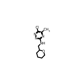 Cc1nc(NCC2CCCCO2)nnc1Cl